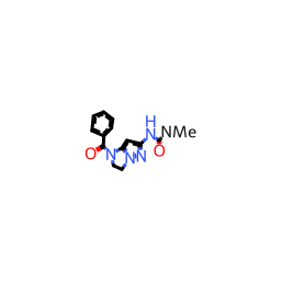 CNC(=O)Nc1cc2n(n1)CCN2C(=O)c1ccccc1